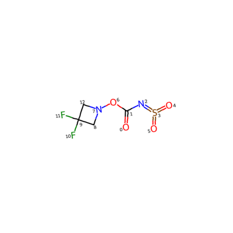 O=C(N=S(=O)=O)ON1CC(F)(F)C1